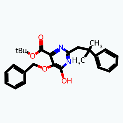 CC(C)(C)OC(=O)c1nc(CC(C)(C)c2ccccc2)nc(O)c1OCc1ccccc1